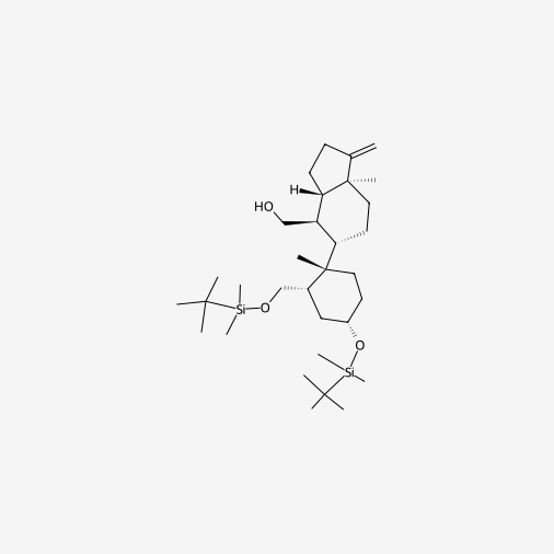 C=C1CC[C@H]2[C@H](CO)[C@@H]([C@]3(C)CC[C@H](O[Si](C)(C)C(C)(C)C)C[C@@H]3CO[Si](C)(C)C(C)(C)C)CC[C@]12C